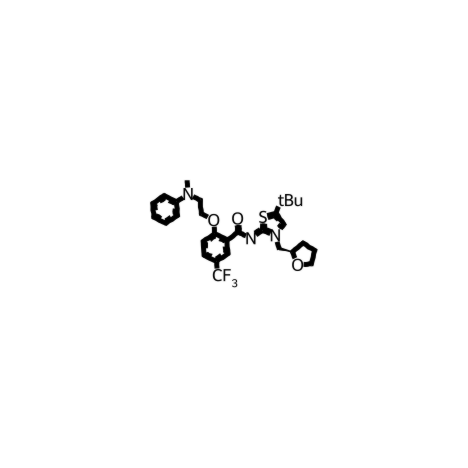 CN(CCOc1ccc(C(F)(F)F)cc1C(=O)N=c1sc(C(C)(C)C)cn1C[C@H]1CCCO1)c1ccccc1